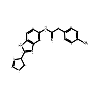 Cc1ccc(CC(=O)Nc2ccc3[nH]c(C4CSC=N4)nc3c2)cc1